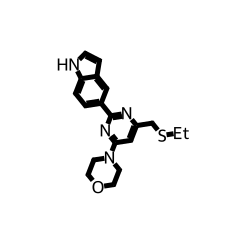 CCSCc1cc(N2CCOCC2)nc(-c2ccc3[nH]ccc3c2)n1